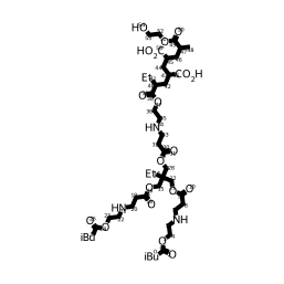 CCC(C)C(=O)OCCNCCC(=O)OCC(CC)(COC(=O)CCNCCOC(=O)C(C)CC)COC(=O)CCNCCOC(=O)C(CC)CC(CC(CC(C)C(=O)OCCO)C(=O)O)C(=O)O